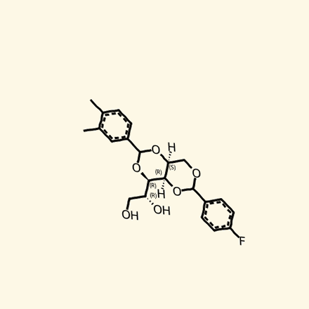 Cc1ccc(C2O[C@H]([C@H](O)CO)[C@@H]3OC(c4ccc(F)cc4)OC[C@@H]3O2)cc1C